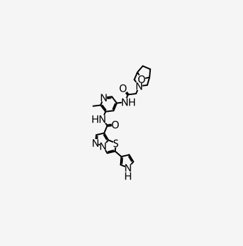 Cc1ncc(NC(=O)CN2CC3CCC(C2)O3)cc1NC(=O)c1cnn2cc(-c3cc[nH]c3)sc12